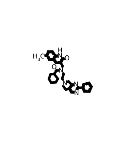 Cc1ccc2[nH]c(=O)c(CN(CCN3CCc4cnc(-c5ccccc5)nc4C3)C(=O)C3CCCCC3)cc2c1